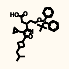 CC(C)CC1CC(c2onc(C(CCO[Si](c3ccccc3)(c3ccccc3)C(C)(C)C)CC(=O)O)c2C2CC2)C1